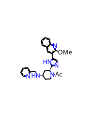 COc1nc2ccccc2cc1-c1cnc([C@@H]2C[C@@H](NCc3ccccn3)CCN2C(C)=O)[nH]1